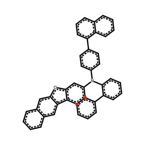 c1ccc(-c2ccccc2N(c2ccc(-c3cccc4ccccc34)cc2)c2cnc3c(c2)oc2cc4ccccc4cc23)cc1